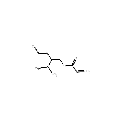 C=CC(=O)OCC(CCCl)N(C)C